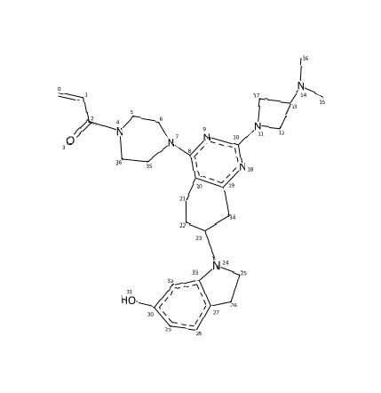 C=CC(=O)N1CCN(c2nc(N3CC(N(C)C)C3)nc3c2CCC(N2CCc4ccc(O)cc42)C3)CC1